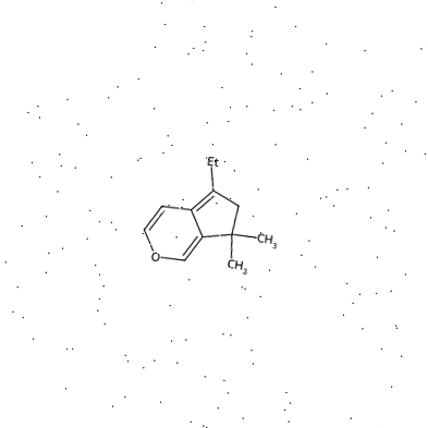 [CH2]CC1=C2C=COC=C2C(C)(C)C1